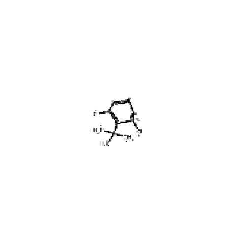 CC(C)(C)c1c(Cl)cccc1Cl